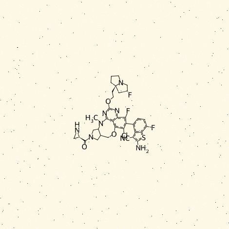 CN1c2nc(OCC[C@@]34CCCN3C[C@H](F)C4)nc3c(F)c(-c4ccc(F)c5sc(N)c(C#N)c45)c(Cl)c(c23)OCC2CN(C(=O)[C@H]3CN3)CC21